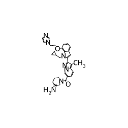 Cc1c(-c2cc3cccc(OCCn4ccnc4)c3n2CC2CC2)nn2cc(C(=O)N3CCC[C@@H](N)C3)ccc12